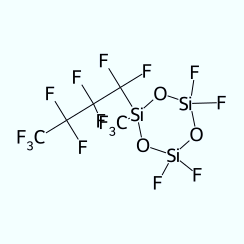 FC(F)(F)C(F)(F)C(F)(F)C(F)(F)[Si]1(C(F)(F)F)O[Si](F)(F)O[Si](F)(F)O1